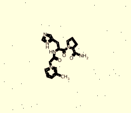 Cc1ccc[n+](CC(=O)NC(Cc2cnc[nH]2)C(=O)N2CCCC2C(N)=O)c1